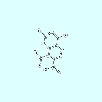 O=C(O)c1ccc([N+](=O)[O-])c([N+](=O)[O-])c1O[N+](=O)[O-]